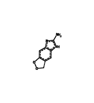 Nc1nc2cc3c(cc2[nH]1)COO3